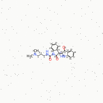 CN(C)CCCNC(=O)N1C(=O)/C(=C2\Nc3ccccc3C2=O)c2ccccc21